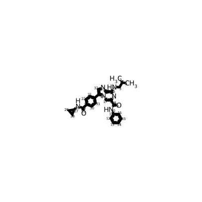 CC(C)CNc1nc(C(=O)Nc2ccccc2)cn2c(-c3ccc(C(=O)NC4CC4)cc3)cnc12